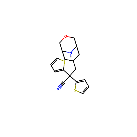 CN1C2COCC1CC(CC(C#N)(c1cccs1)c1cccs1)C2